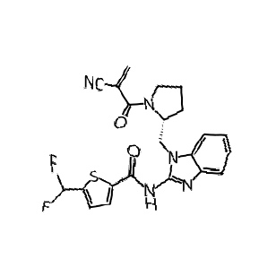 C=C(C#N)C(=O)N1CCC[C@@H]1Cn1c(NC(=O)c2ccc(C(F)F)s2)nc2ccccc21